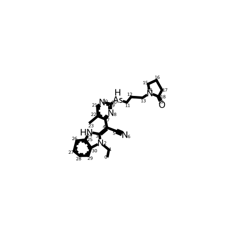 CCN1/C(=C(\C#N)c2nc([AsH]CCCN3CCCC3=O)ncc2C)Nc2ccccc21